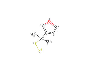 CC(C)(SS)c1ccoc1